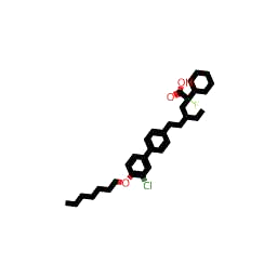 CCCCCCCOc1ccc(-c2ccc(CCC(CC)C[C@@](F)(C(=O)O)C3CCCCC3)cc2)cc1Cl